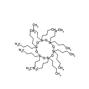 CCCC[Si]1(CCCC)O[Si](CCCC)(CCCC)O[Si](CCCC)(CCCC)O[Si](CCCC)(CCCC)O[Si](CCCC)(CCCC)O[Si](CCCC)(CCCC)O1